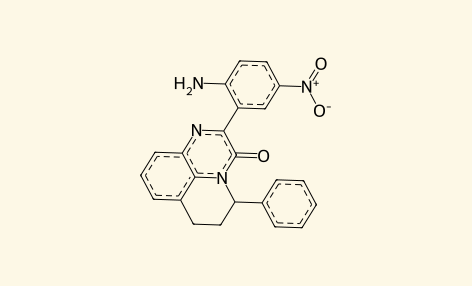 Nc1ccc([N+](=O)[O-])cc1-c1nc2cccc3c2n(c1=O)C(c1ccccc1)CC3